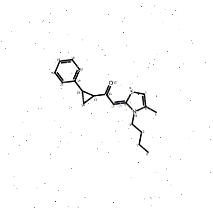 CCCCN1C(C)=CS/C1=C\C(=O)C1CC1c1ccccc1